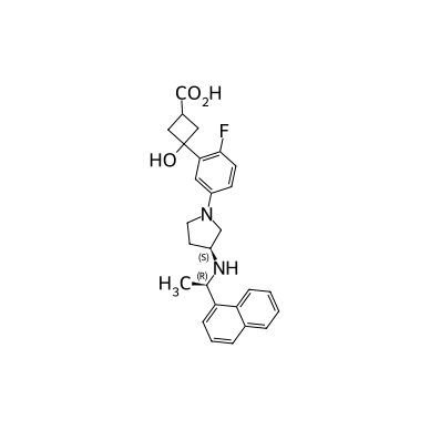 C[C@@H](N[C@H]1CCN(c2ccc(F)c(C3(O)CC(C(=O)O)C3)c2)C1)c1cccc2ccccc12